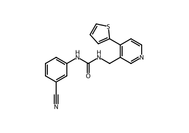 N#Cc1cccc(NC(=O)NCc2cnccc2-c2cccs2)c1